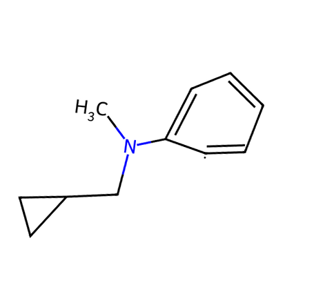 CN(CC1CC1)c1[c]cccc1